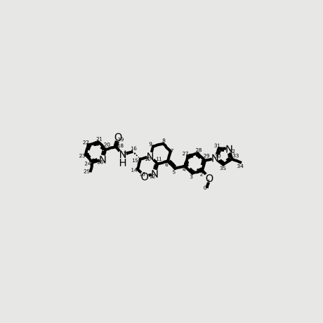 COc1cc(/C=C2\CCCN3C2=NOC[C@@H]3CNC(=O)c2cccc(C)n2)ccc1-n1cnc(C)c1